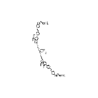 CCCCCC1CCC(/C=C/C2CC=C(c3ccc(OCCCCC/C=C(/CCCCCCOc4ccc(C5CCC(/C=C/C6CCC(CCCCC)CC6)CC5)c(F)c4F)C(F)(F)F)c(F)c3F)CC2)CC1